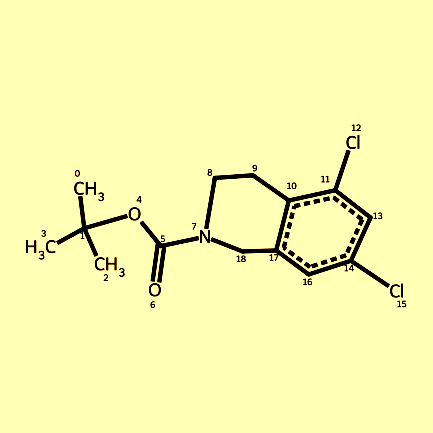 CC(C)(C)OC(=O)N1CCc2c(Cl)cc(Cl)cc2C1